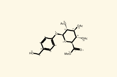 COC(=O)[C@H]1O[C@@H](Oc2ccc(CO)cc2)[C@H](OC(C)=O)[C@@H](OC(C)=O)[C@@H]1OC(C)=O